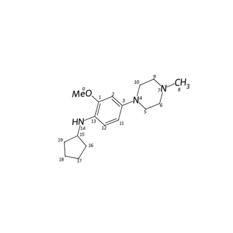 COc1cc(N2CCN(C)CC2)ccc1NC1CCCC1